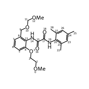 COCCOc1cccc(COCOC)c1NC(=O)C(=O)Nc1c(C)cc(C)cc1C